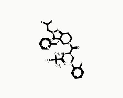 CC(C)(N)C(=O)N[C@H](COc1ccccc1F)C(=O)N1CCC2=NN(CC(F)F)C(=O)[C@]2(Cc2ccccn2)C1